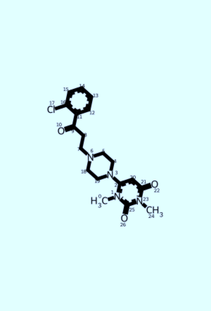 Cn1c(N2CCN(CCC(=O)c3ccccc3Cl)CC2)cc(=O)n(C)c1=O